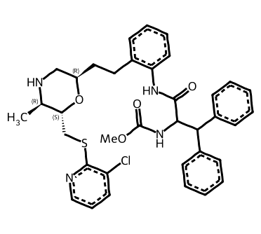 COC(=O)NC(C(=O)Nc1ccccc1CC[C@@H]1CN[C@H](C)[C@@H](CSc2ncccc2Cl)O1)C(c1ccccc1)c1ccccc1